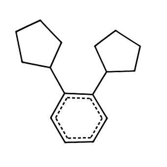 c1ccc(C2CCCC2)c(C2CCCC2)c1